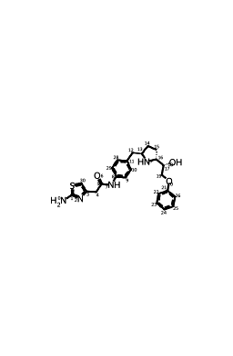 Nc1nc(CC(=O)Nc2ccc(C[C@H]3CC[C@H]([C@H](O)COc4ccccc4)N3)cc2)cs1